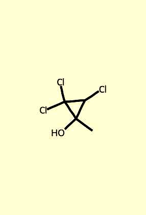 CC1(O)C(Cl)C1(Cl)Cl